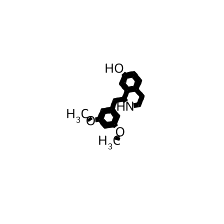 COc1cc(CC2NCCc3ccc(O)cc32)cc(OC)c1